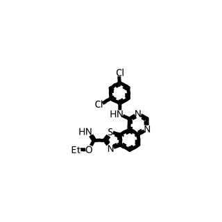 CCOC(=N)c1nc2ccc3ncnc(Nc4ccc(Cl)cc4Cl)c3c2s1